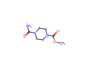 COC(=O)N1CCN(C(N)=O)CC1